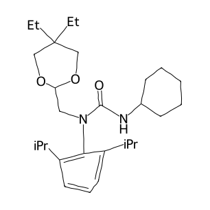 CCC1(CC)COC(CN(C(=O)NC2CCCCC2)c2c(C(C)C)cccc2C(C)C)OC1